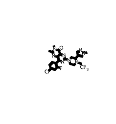 Cc1nc2c(-c3ccc(Cl)cc3F)nc(N3CCN(CC(F)(F)F)C(c4cnn(C)c4)C3)nc2c(=O)n1C